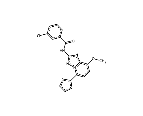 COc1ccc(-c2cccs2)n2nc(NC(=O)c3cccc(Cl)c3)nc12